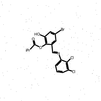 CC(C)C(=O)Oc1c(O)cc(Br)cc1C=Nc1cccc(Cl)c1Cl